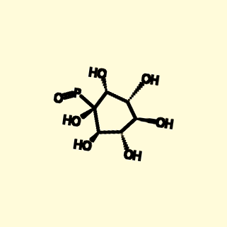 O=P[C@]1(O)[C@H](O)[C@H](O)[C@@H](O)[C@H](O)[C@H]1O